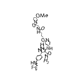 COC1CCN(C(=O)CNC(=O)CCCCOc2cc(Nc3[nH]nc(-c4ccc(NSC(F)F)cc4)c3C(N)=O)ccn2)C1